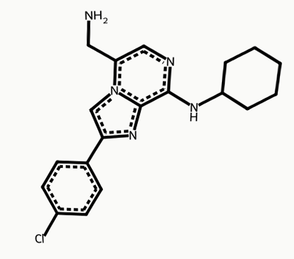 NCc1cnc(NC2CCCCC2)c2nc(-c3ccc(Cl)cc3)cn12